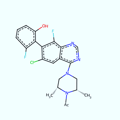 CC(=O)N1[C@H](C)CN(c2ncnc3c(F)c(-c4c(O)cccc4F)c(Cl)cc23)C[C@@H]1C